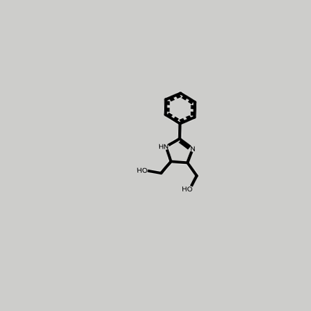 OCC1N=C(c2ccccc2)NC1CO